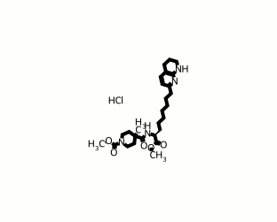 COC(=O)[C@H](CCCCCCCc1ccc2c(n1)NCCC2)NC(=O)C1(C)CCN(C(=O)OC)CC1.Cl